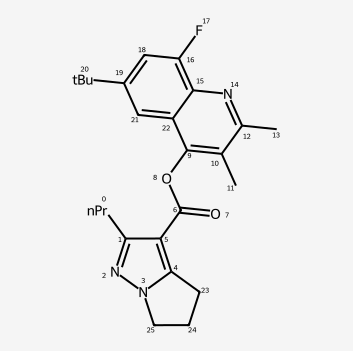 CCCc1nn2c(c1C(=O)Oc1c(C)c(C)nc3c(F)cc(C(C)(C)C)cc13)CCC2